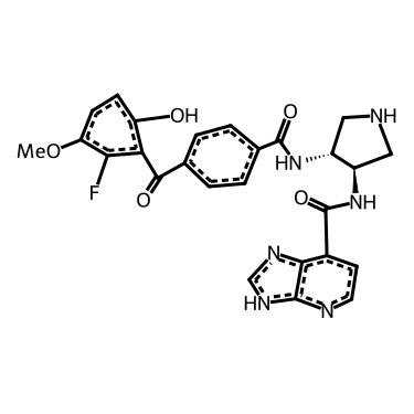 COc1ccc(O)c(C(=O)c2ccc(C(=O)N[C@@H]3CNC[C@H]3NC(=O)c3ccnc4[nH]cnc34)cc2)c1F